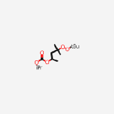 CC(C)OC(=O)OC(C)CC(C)(C)OOC(C)(C)C